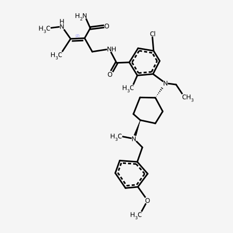 CCN(c1cc(Cl)cc(C(=O)NC/C(C(N)=O)=C(\C)NC)c1C)[C@H]1CC[C@H](N(C)Cc2cccc(OC)c2)CC1